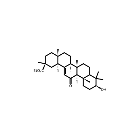 CCOC(=O)[C@@]1(C)CC[C@]2(C)CC[C@]3(C)C(=CC(=O)[C@@H]4[C@@]5(C)CC[C@H](O)C(C)(C)C5CC[C@]43C)[C@H]2C1